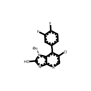 [CH2][C@@H](CC)n1c(O)nc2ncc(Cl)c(-c3ccc(F)c(F)c3)c21